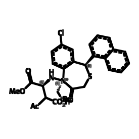 COC(=O)[C@@H](N[N@+]1(CC(C)(C)C)C(=O)CS[C@H](c2cccc3ccccc23)c2cc(Cl)ccc21)C(C(C)=O)C(=O)O